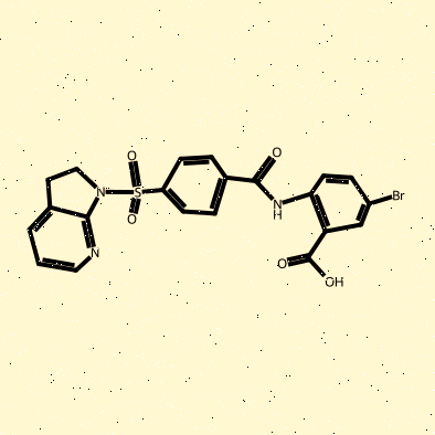 O=C(Nc1ccc(Br)cc1C(=O)O)c1ccc(S(=O)(=O)N2CCc3cccnc32)cc1